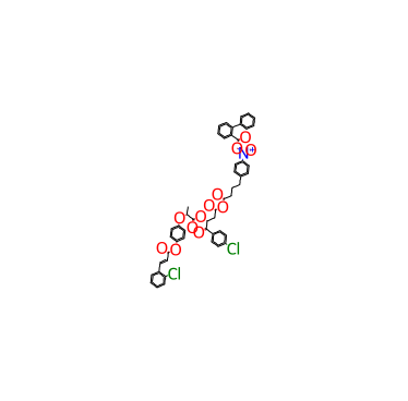 CC(Oc1ccc(OC(=O)/C=C/c2ccccc2Cl)cc1)C(=O)OC(CC(=O)OC(=O)CCCc1ccc([N+](=O)OC(=O)c2ccccc2-c2ccccc2)cc1)C(=O)c1ccc(Cl)cc1